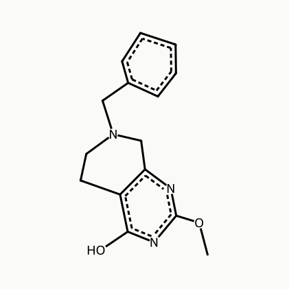 COc1nc(O)c2c(n1)CN(Cc1ccccc1)CC2